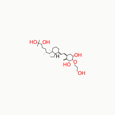 C=C1/C(=C\C=C2/CCC[C@]3(C)[C@@H]([C@H](C)CC[C@@H](O)C(C)(C)O)CC[C@@H]23)C[C@@H](O)[C@@H](OCCCO)[C@@H]1O